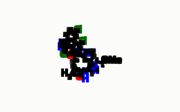 COCCn1ncc2c1-c1ccnc(c1)[C@@H](n1cc(Cl)c(-c3cc(Cl)ccc3-n3cc(Cl)nn3)cc1=O)CCC[C@@H](C)C(=O)N2